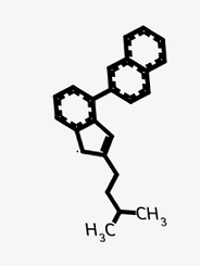 CC(C)CCC1=Cc2c(cccc2-c2ccc3ccccc3c2)[CH]1